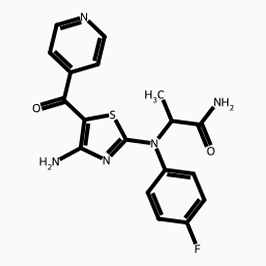 CC(C(N)=O)N(c1ccc(F)cc1)c1nc(N)c(C(=O)c2ccncc2)s1